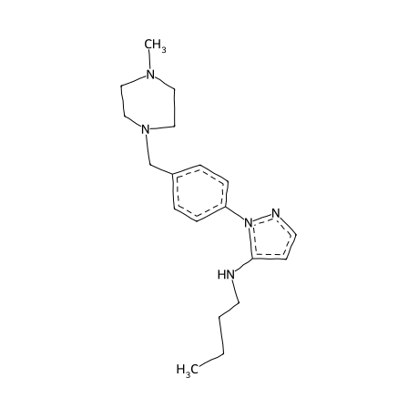 CCCCNc1ccnn1-c1ccc(CN2CCN(C)CC2)cc1